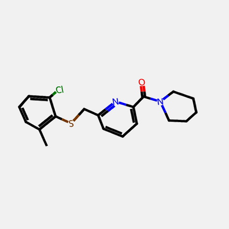 Cc1cccc(Cl)c1SCc1cccc(C(=O)N2CCCCC2)n1